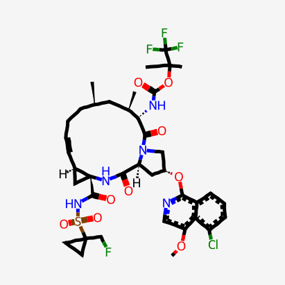 COc1cnc(O[C@@H]2C[C@H]3C(=O)N[C@]4(C(=O)NS(=O)(=O)C5(CF)CC5)C[C@H]4/C=C\CC[C@@H](C)C[C@@H](C)[C@H](NC(=O)OC(C)(C)C(F)(F)F)C(=O)N3C2)c2cccc(Cl)c12